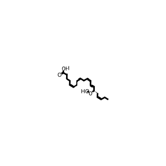 CC/C=C\C[C@@H](/C=C/C=C\C/C=C\C/C=C\CCCC(=O)O)OO